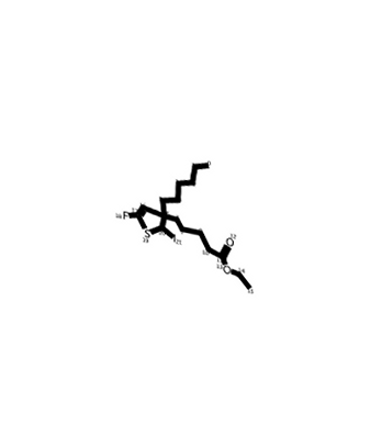 CCCCCCC1(CCCCC(=O)OCC)C=C(F)SC1I